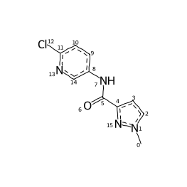 Cn1ccc(C(=O)Nc2ccc(Cl)nc2)n1